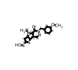 COc1cccc(Cn2ncc3c4sc(SO)cc4n(C)c3c2=O)c1